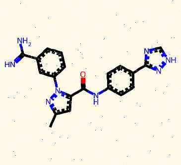 Cc1cc(C(=O)Nc2ccc(-c3nc[nH]n3)cc2)n(-c2cccc(C(=N)N)c2)n1